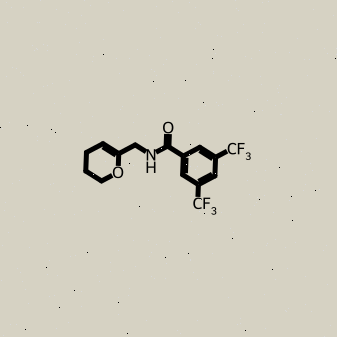 O=C(NCC1=CCCCO1)c1cc(C(F)(F)F)cc(C(F)(F)F)c1